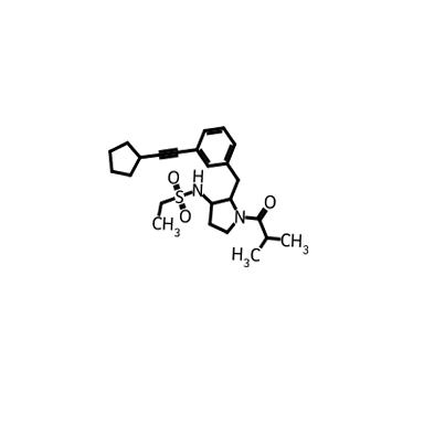 CCS(=O)(=O)NC1CCN(C(=O)C(C)C)C1Cc1cccc(C#CC2CCCC2)c1